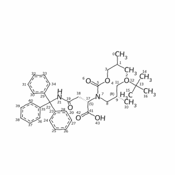 CC(C)COC(=O)N(C[C@@H](C)COC(C)(C)C)[C@@H](CC(=O)NC(c1ccccc1)(c1ccccc1)c1ccccc1)C(=O)O